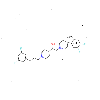 OC(CN1CCC2(C=CC3CC(F)C(F)C[C@H]32)CC1)C1CCN(CCCC2=CC(F)CC(F)C2)CC1